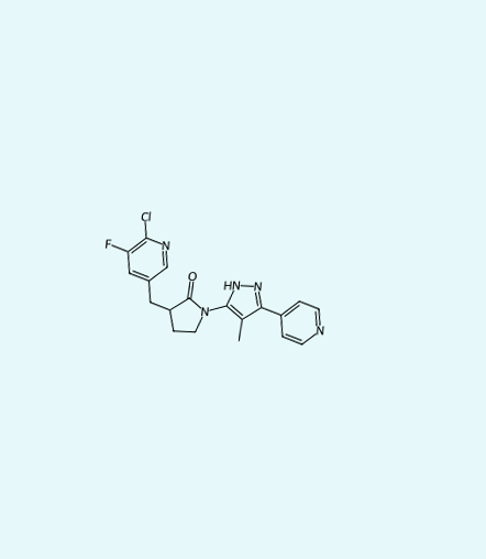 Cc1c(-c2ccncc2)n[nH]c1N1CCC(Cc2cnc(Cl)c(F)c2)C1=O